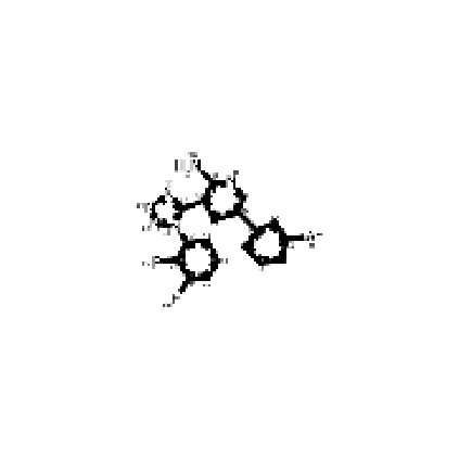 CC(=O)c1cccc(-c2cnc(N)c(-c3nnnn3-c3cccc(F)c3F)c2)c1